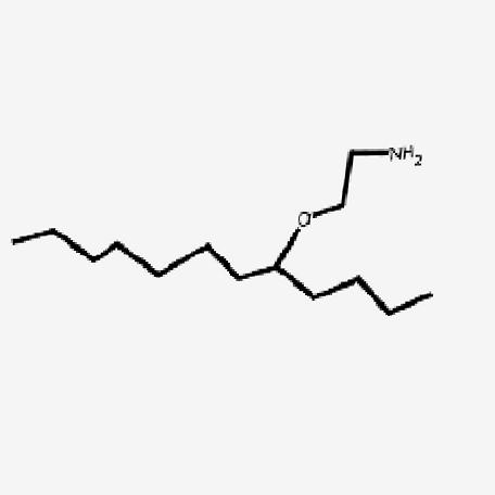 CCCCCCCC(CCCC)OCCN